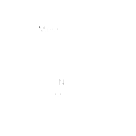 COc1ccc2cc(-c3ccccc3)[n+]([O-])cc2c1